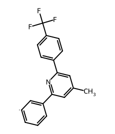 Cc1cc(-c2c[c]ccc2)nc(-c2ccc(C(F)(F)F)cc2)c1